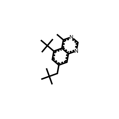 Cc1ncnc2cc(CC(C)(C)C)cc(C(C)(C)C)c12